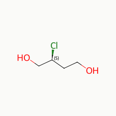 OCC[C@H](Cl)CO